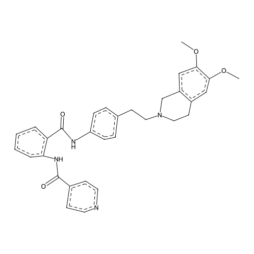 COc1cc2c(cc1OC)CN(CCc1ccc(NC(=O)c3ccccc3NC(=O)c3ccncc3)cc1)CC2